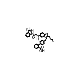 CCCCc1nc2ccc(NCC(=O)Nc3ccccc3C(F)(F)F)cc2n1Cc1ccc(-c2ccccc2C(=O)O)cc1